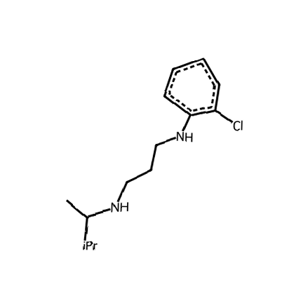 CC(C)C(C)NCCCNc1ccccc1Cl